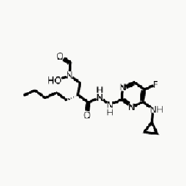 CCCCC[C@H](CN(O)C=O)C(=O)NNc1ncc(F)c(NC2CC2)n1